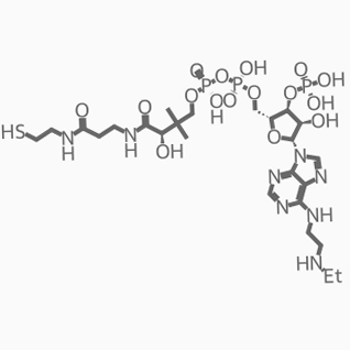 CCNCCNc1ncnc2c1ncn2[C@@H]1O[C@H](COP(=O)(O)OP(=O)(O)OCC(C)(C)[C@@H](O)C(=O)NCCC(=O)NCCS)[C@@H](OP(=O)(O)O)[C@H]1O